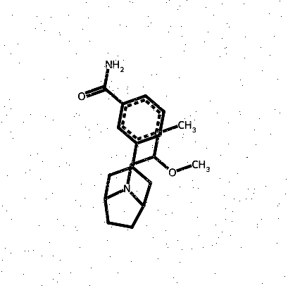 COC(CN1C2CCC1CC(c1cccc(C(N)=O)c1)C2)OC